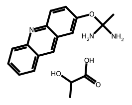 CC(N)(N)Oc1ccc2nc3ccccc3cc2c1.CC(O)C(=O)O